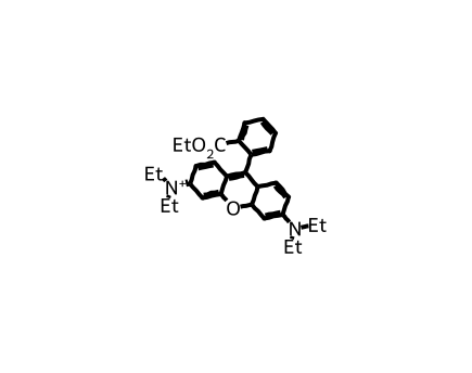 CCOC(=O)c1ccccc1C1=C2C=CC(=[N+](CC)CC)C=C2OC2C=C(N(CC)CC)C=CC12